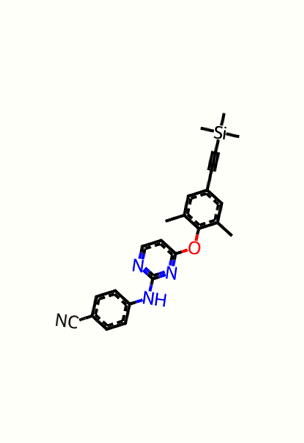 Cc1cc(C#C[Si](C)(C)C)cc(C)c1Oc1ccnc(Nc2ccc(C#N)cc2)n1